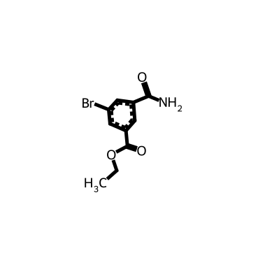 CCOC(=O)c1cc(Br)cc(C(N)=O)c1